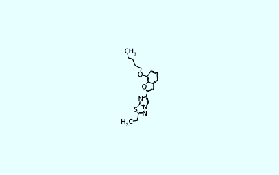 CCCCCOc1cccc2cc(-c3cn4nc(CC)sc4n3)oc12